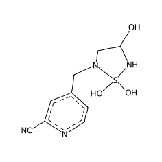 N#Cc1cc(CN2CC(O)NS2(O)O)ccn1